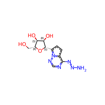 NN=Nc1ncnn2c([C@@H]3O[C@H](CO)[C@@H](O)[C@H]3O)ccc12